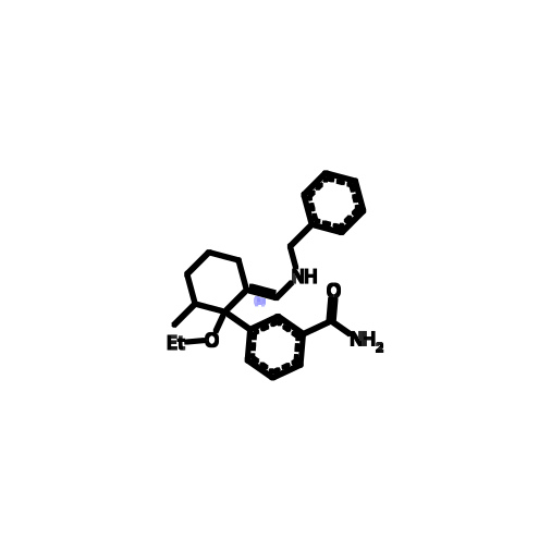 CCOC1(c2cccc(C(N)=O)c2)/C(=C/NCc2ccccc2)CCCC1C